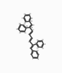 C(C=CC(=Cc1ccccc1)c1ccccc1)=CC(=Cc1ccccc1)c1ccccc1